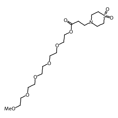 COCCOCCOCCOCCOCCOC(=O)CCN1CCS(=O)(=O)CC1